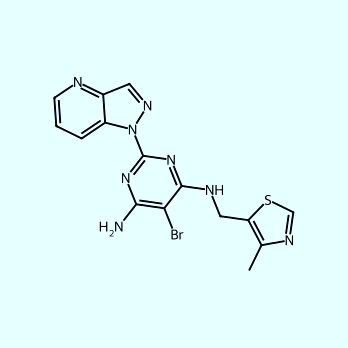 Cc1ncsc1CNc1nc(-n2ncc3ncccc32)nc(N)c1Br